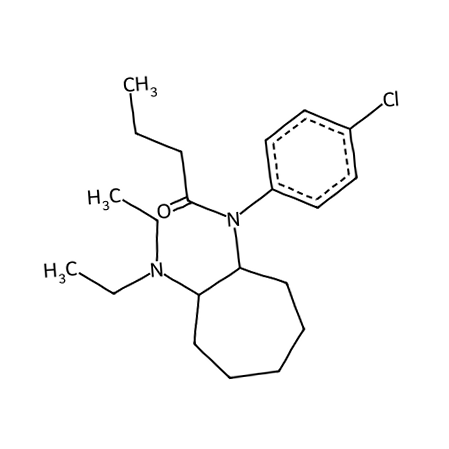 CCCC(=O)N(c1ccc(Cl)cc1)C1CCCCCC1N(CC)CC